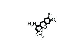 COc1cc2c(cc1Br)Cc1c(N)cc(N)nc1O2